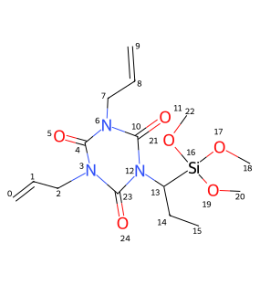 C=CCn1c(=O)n(CC=C)c(=O)n(C(CC)[Si](OC)(OC)OC)c1=O